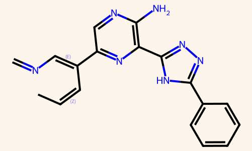 C=N/C=C(\C=C/C)c1cnc(N)c(-c2nnc(-c3ccccc3)[nH]2)n1